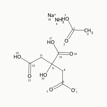 CC(=O)O.N.O=C([O-])CC(O)(CC(=O)O)C(=O)O.[Na+]